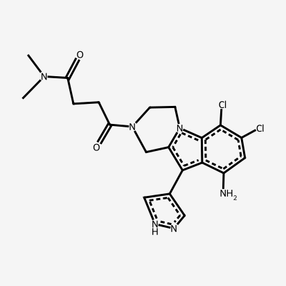 CN(C)C(=O)CCC(=O)N1CCn2c(c(-c3cn[nH]c3)c3c(N)cc(Cl)c(Cl)c32)C1